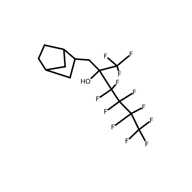 OC(CC1CC2CCC1C2)(C(F)(F)F)C(F)(F)C(F)(F)C(F)(F)C(F)(F)F